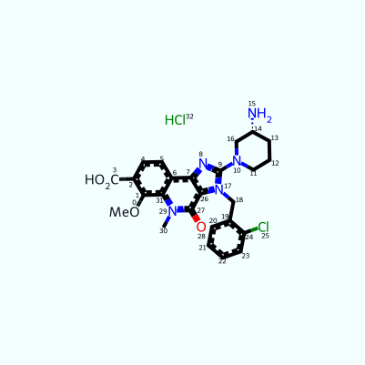 COc1c(C(=O)O)ccc2c3nc(N4CCC[C@@H](N)C4)n(Cc4ccccc4Cl)c3c(=O)n(C)c12.Cl